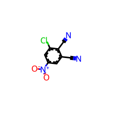 N#Cc1cc([N+](=O)[O-])cc(Cl)c1C#N